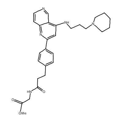 COC(=O)CNC(=O)CCc1ccc(-c2cc(NCCCN3CCCCC3)c3cnccc3n2)cc1